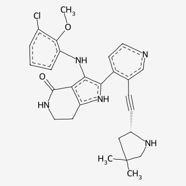 COc1c(Cl)cccc1Nc1c(-c2ccncc2C#C[C@H]2CC(C)(C)CN2)[nH]c2c1C(=O)NCC2